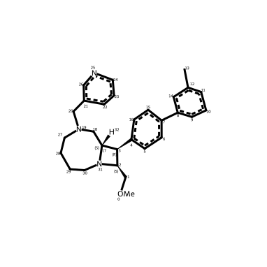 COC[C@@H]1[C@H](c2ccc(-c3cccc(C)c3)cc2)[C@H]2CN(Cc3cccnc3)CCCCN12